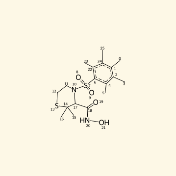 Cc1c(C)c(C)c(S(=O)(=O)N2CCSC(C)(C)C2C(=O)NO)c(C)c1C